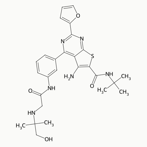 CC(C)(C)NC(=O)c1sc2nc(-c3ccco3)nc(-c3cccc(NC(=O)CNC(C)(C)CO)c3)c2c1N